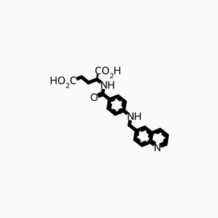 O=C(O)CC[C@H](NC(=O)c1ccc(NCc2ccc3ncccc3c2)cc1)C(=O)O